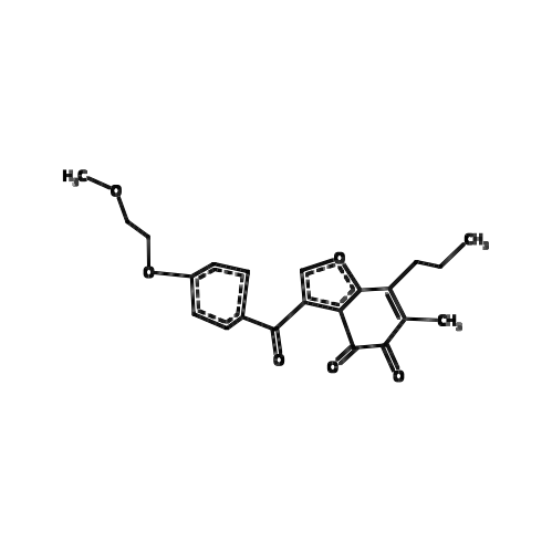 CCCC1=C(C)C(=O)C(=O)c2c(C(=O)c3ccc(OCCOC)cc3)coc21